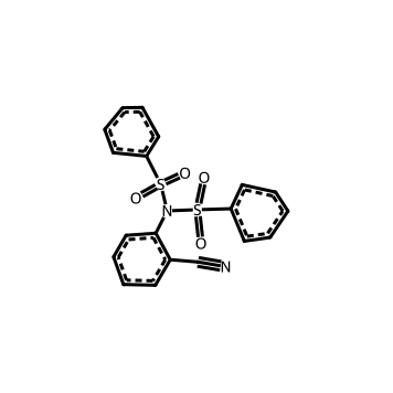 N#Cc1ccccc1N(S(=O)(=O)c1ccccc1)S(=O)(=O)c1ccccc1